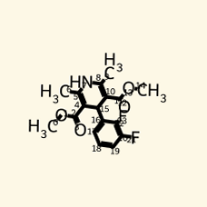 COC(=O)C1=C(C)NC(C)=C(C(=O)OC)C1c1cccc(F)c1F